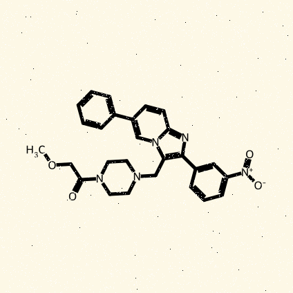 COCC(=O)N1CCN(Cc2c(-c3cccc([N+](=O)[O-])c3)nc3ccc(-c4ccccc4)cn23)CC1